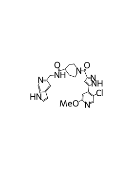 COc1cc(-c2cc(C(=O)N3CCC(C(=O)NCc4cc5cc[nH]c5cn4)CC3)n[nH]2)c(Cl)cn1